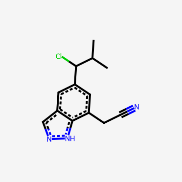 CC(C)C(Cl)c1cc(CC#N)c2[nH]ncc2c1